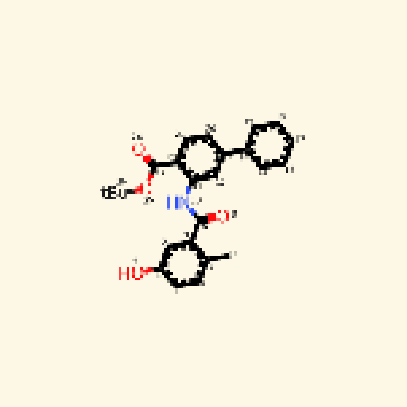 Cc1ccc(O)cc1C(=O)Nc1cc(-c2ccccc2)ccc1C(=O)OC(C)(C)C